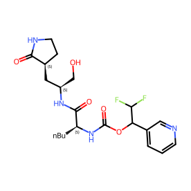 CCCC[C@H](NC(=O)OC(c1cccnc1)C(F)F)C(=O)N[C@H](CO)C[C@@H]1CCNC1=O